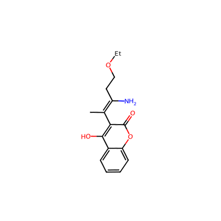 CCOCC/C(N)=C(\C)c1c(O)c2ccccc2oc1=O